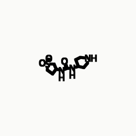 O=C(NC1CCNCC1)NC1CCS(=O)(=O)C1